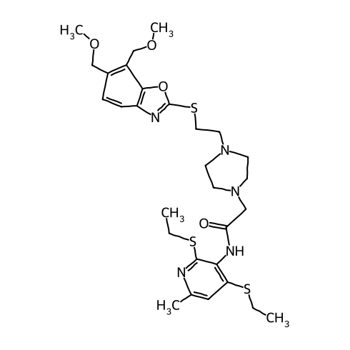 CCSc1cc(C)nc(SCC)c1NC(=O)CN1CCN(CCSc2nc3ccc(COC)c(COC)c3o2)CC1